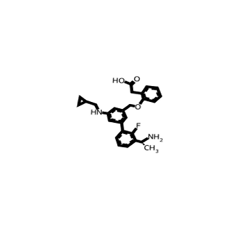 C[C@@H](N)c1cccc(-c2cc(COc3ccccc3CC(=O)O)cc(NCC3CC3)c2)c1F